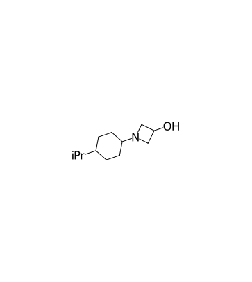 CC(C)C1CCC(N2CC(O)C2)CC1